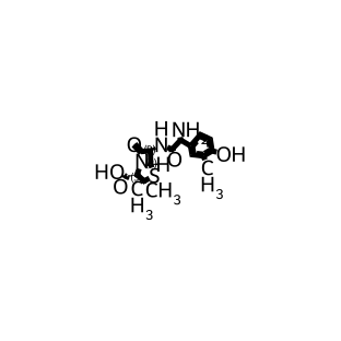 Cc1cc(C(N)C(=O)N[C@@H]2C(=O)N3[C@@H]2SC(C)(C)[C@@H]3C(=O)O)ccc1O